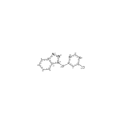 Clc1cc(On2nnc3ccccc32)ncn1